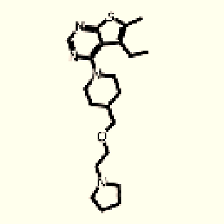 CCc1c(C)sc2ncnc(N3CCC(COCCN4CCCC4)CC3)c12